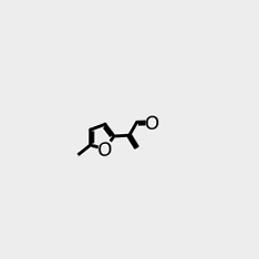 C=C(C=O)c1ccc(C)o1